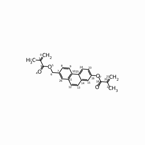 C=C(C)C(=O)OCc1ccc2c(ccc3cc(OC(=O)C(=C)C)ccc32)c1